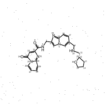 O=C(NCc1cn2cc(CNC[C@@H]3CCCO3)ccc2n1)c1cc(=O)n2ccccc2n1